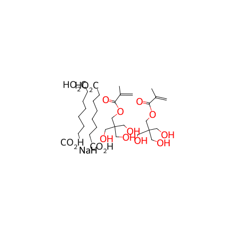 C=C(C)C(=O)OCC(CO)(CO)CO.C=C(C)C(=O)OCC(CO)(CO)CO.O=C(O)CCCCCCC(=O)O.O=C(O)CCCCCCC(=O)O.[NaH]